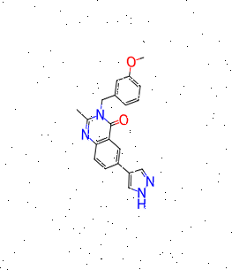 COc1cccc(Cn2c(C)nc3ccc(-c4cn[nH]c4)cc3c2=O)c1